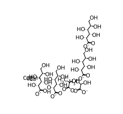 CC(O)C(=O)[O-].CC(O)C(=O)[O-].O=C([O-])[C@H](O)[C@@H](O)[C@H](O)[C@H](O)CO.O=C([O-])[C@H](O)[C@@H](O)[C@H](O)[C@H](O)CO.O=C([O-])[C@H](O)[C@@H](O)[C@H](O)[C@H](O)CO.O=C([O-])[C@H](O)[C@@H](O)[C@H](O)[C@H](O)CO.[Ca+2].[Ca+2].[Ca+2]